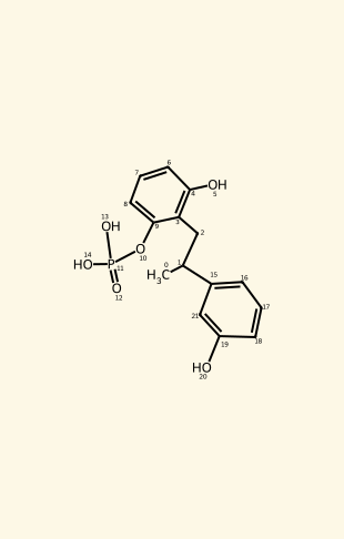 CC(Cc1c(O)cccc1OP(=O)(O)O)c1cccc(O)c1